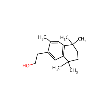 Cc1cc2c(cc1CCO)C(C)(C)CCC2(C)C